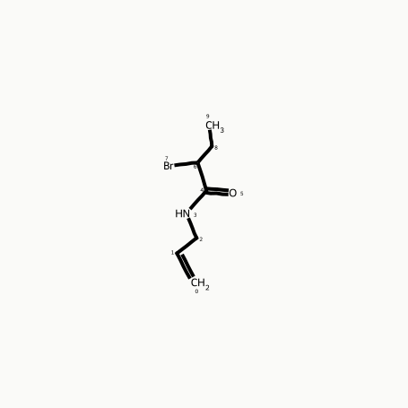 C=CCNC(=O)C(Br)CC